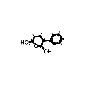 OC1CCC(c2ccccc2)C(O)O1